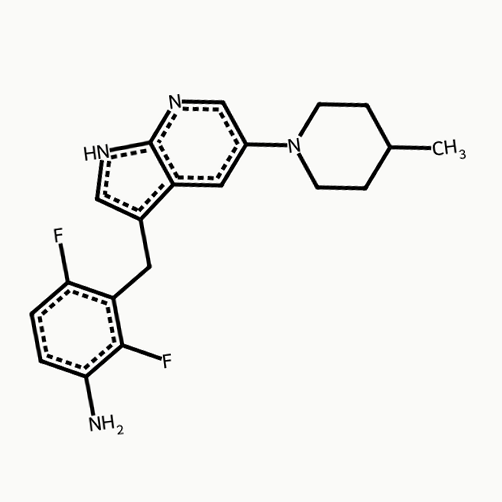 CC1CCN(c2cnc3[nH]cc(Cc4c(F)ccc(N)c4F)c3c2)CC1